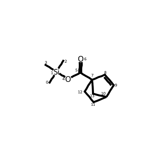 C[Si](C)(C)OC(=O)C12C=CC(CC1)C2